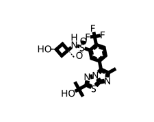 Cc1nc2sc(C(C)(C)O)nn2c1-c1ccc(C(F)(F)F)c(S(=O)(=O)N[C@]2(C)C[C@@H](O)C2)c1